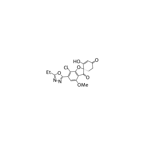 CCc1nnc(-c2cc(OC)c3c(c2Cl)O[C@]2(CCC(=O)C=C2O)C3=O)o1